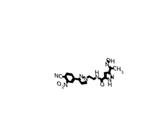 CC(=NO)c1cc(C(=O)NCCn2ccc(-c3ccc(C#N)c([N+](=O)[O-])c3)n2)[nH]n1